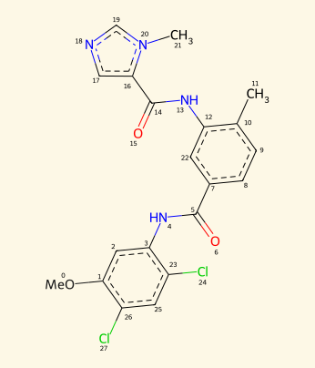 COc1cc(NC(=O)c2ccc(C)c(NC(=O)c3cncn3C)c2)c(Cl)cc1Cl